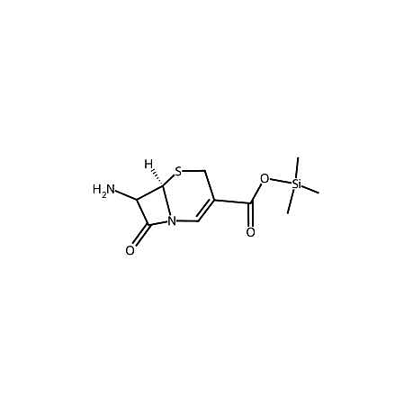 C[Si](C)(C)OC(=O)C1=CN2C(=O)C(N)[C@H]2SC1